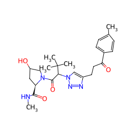 CNC(=O)[C@H]1CC(O)CN1C(=O)C(n1cc(CCC(=O)c2ccc(C)cc2)nn1)C(C)(C)C